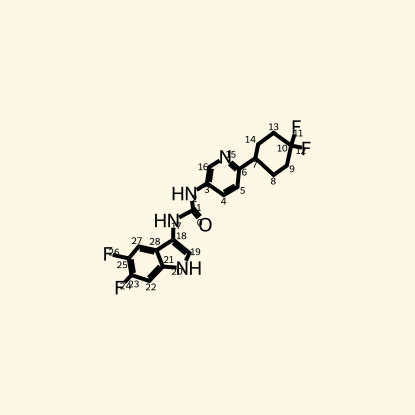 O=C(Nc1ccc(C2CCC(F)(F)CC2)nc1)Nc1c[nH]c2cc(F)c(F)cc12